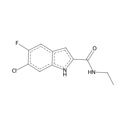 CCNC(=O)c1cc2cc(F)c(Cl)cc2[nH]1